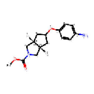 CC(C)(C)OC(=O)N1C[C@H]2CC(Oc3ccc(N)cc3)C[C@H]2C1